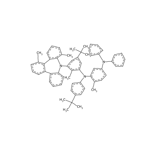 Cc1ccc(N(c2ccccc2)c2ccccc2)cc1N(c1ccc(C(C)(C)C)cc1)c1cc(C(C)(C)C)cc(N2c3ccccc3-c3cccc(C)c3-c3cccc(C)c32)c1C